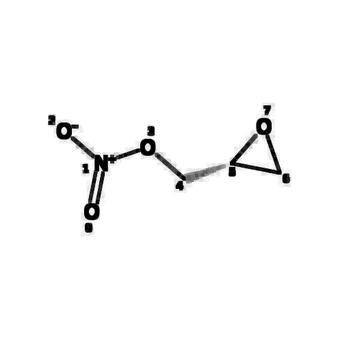 O=[N+]([O-])OC[C@H]1CO1